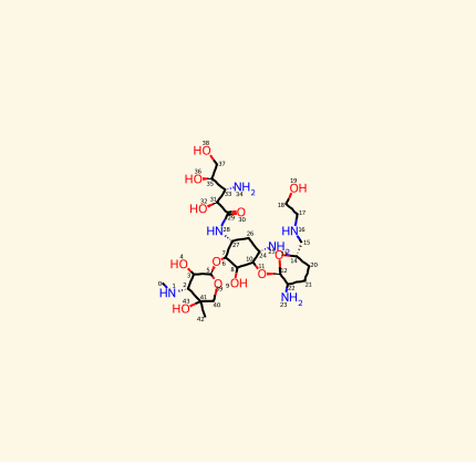 CN[C@@H]1C(O)[C@@H](OC2C(O)C(O[C@H]3O[C@H](CNCCO)CCC3N)[C@@H](N)C[C@H]2NC(=O)[C@@H](O)[C@@H](N)[C@@H](O)CO)OCC1(C)O